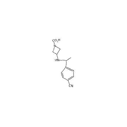 CC(NC1CN(C(=O)O)C1)c1ccc(C#N)cc1